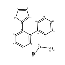 C1=CCC(c2ccccc2-c2ccccc2)=C1.CCO[SiH3]